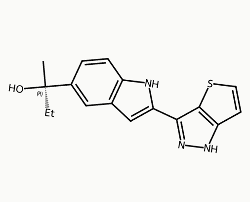 CC[C@@](C)(O)c1ccc2[nH]c(-c3n[nH]c4ccsc34)cc2c1